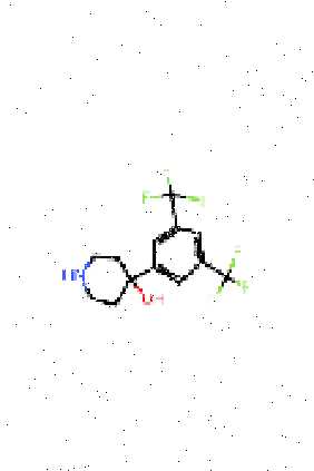 OC1(c2cc(C(F)(F)F)cc(C(F)(F)F)c2)CCNCC1